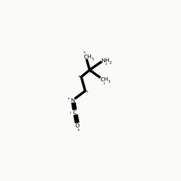 CC(C)(N)CCN=C=O